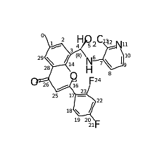 Cc1cc([C@@H](C)Nc2cccnc2C(=O)O)c2oc(-c3ccc(F)cc3F)cc(=O)c2c1